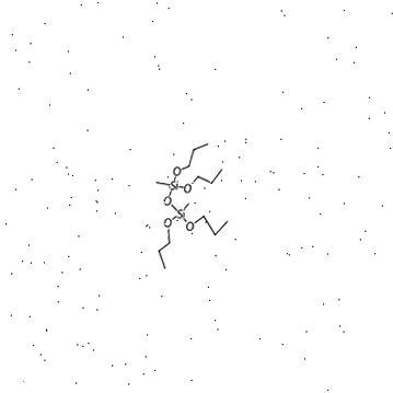 CCCO[Si](C)(OCCC)O[Si](C)(OCCC)OCCC